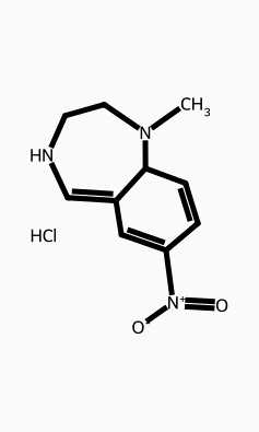 CN1CCNC=C2C=C([N+](=O)[O-])C=CC21.Cl